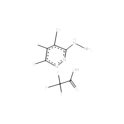 CCc1c(NN)nnc(Cl)c1C.O=C(O)C(F)(F)F